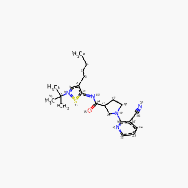 CCCCc1cn(C(C)(C)C)sc1=NC(=O)C1CCN(c2ncccc2C#N)C1